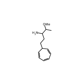 COC(C)C(N)CCC1C=CC=CC=C1